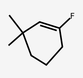 CC1(C)C=C(F)CCC1